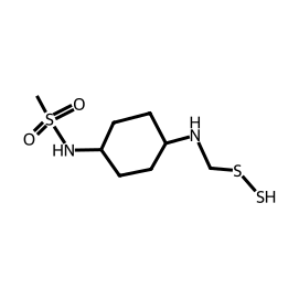 CS(=O)(=O)NC1CCC(NCSS)CC1